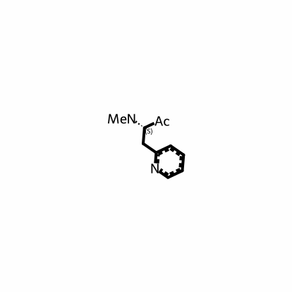 CN[C@@H](Cc1ccccn1)C(C)=O